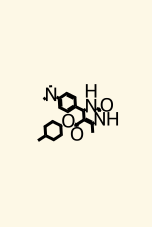 CC1=C(C(=O)OC2CCC(C)CC2)C(c2ccc(N(C)C)cc2)NC(=O)N1